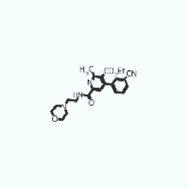 CCOC(=O)c1c(-c2cccc(C#N)c2)cc(C(=O)NCCN2CCOCC2)nc1C